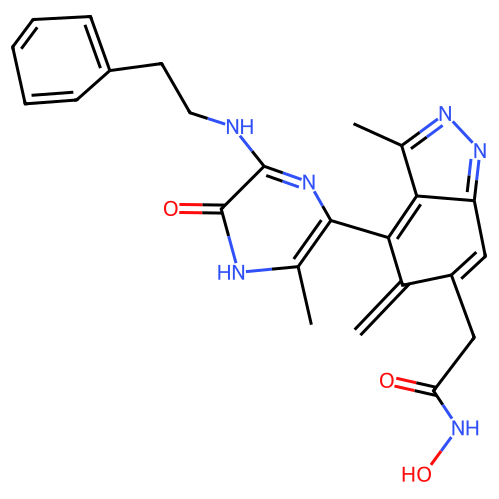 C=c1c(CC(=O)NO)cc2c(c1-c1nc(NCCc3ccccc3)c(=O)[nH]c1C)C(C)=NN=2